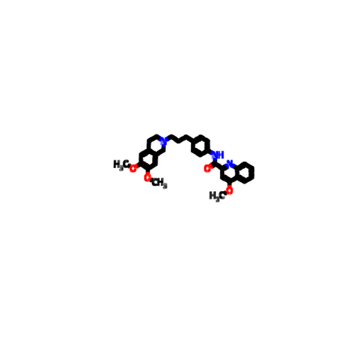 COc1cc2c(cc1OC)CN(CCCc1ccc(NC(=O)c3cc(OC)c4ccccc4n3)cc1)CC2